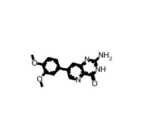 COc1ccc(-c2cnc3c(=O)[nH]c(N)nc3c2)cc1OC